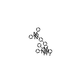 NC(/C(=C1\NC(c2ccccc2)=Cc2ccc(-c3ccc(-c4cc(-c5ccccc5)nc(-c5ccccc5)n4)cc3)cc21)c1ccccc1)c1ccccc1